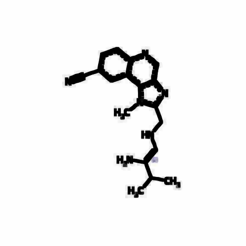 CC(C)/C(N)=C/NCc1nc2cnc3ccc(C#N)cc3c2n1C